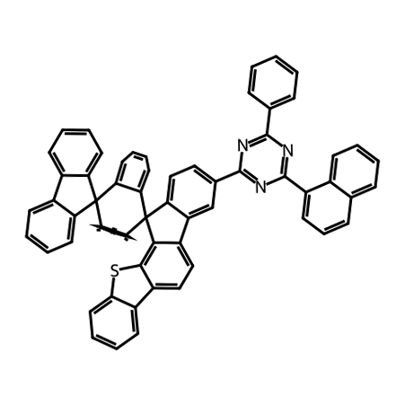 c1ccc(-c2nc(-c3ccc4c(c3)-c3ccc5c(sc6ccccc65)c3C43c4ccccc4C4(c5ccccc5-c5ccccc54)c4ccccc43)nc(-c3cccc4ccccc34)n2)cc1